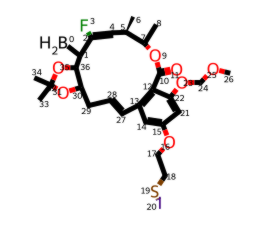 BC1/C(F)=C\[C@@H](C)C(C)OC(=O)c2c(cc(OCCSI)cc2OCOC)/C=C/CC2OC(C)(C)OC21